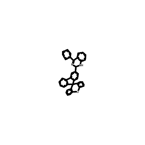 c1ccc(C2=NC(c3ccc4c(c3)-c3ccccc3C43c4ccccc4Oc4ccccc43)Nc3ccccc32)cc1